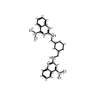 CCN(CC)c1nc(NCC2CCCC(CNc3nc(N(CC)CC)c4ccccc4n3)C2)nc2ccccc12